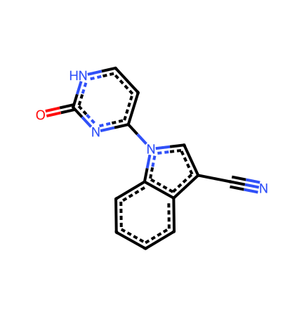 N#Cc1cn(-c2cc[nH]c(=O)n2)c2ccccc12